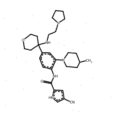 CC1CCN(c2cc(C3(NCCN4CCCC4)CCOCC3)ccc2NC(=O)c2cc(C#N)c[nH]2)CC1